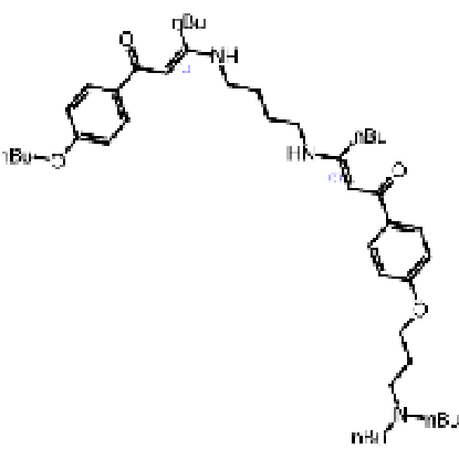 CCCCOc1ccc(C(=O)/C=C(\CCCC)NCCCCN/C(=C/C(=O)c2ccc(OCCCN(CCCC)CCCC)cc2)CCCC)cc1